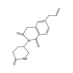 C=CCc1ccc2c(c1)CC(=O)N(C1CCC(=O)NC1)C2=O